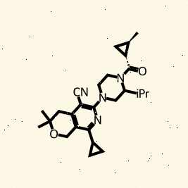 CC(C)C1CN(c2nc(C3CC3)c3c(c2C#N)CC(C)(C)OC3)CCN1C(=O)[C@@H]1C[C@H]1C